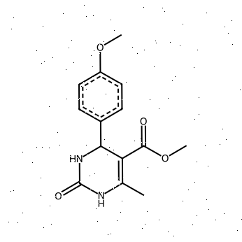 COC(=O)C1=C(C)NC(=O)NC1c1ccc(OC)cc1